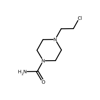 NC(=O)N1CCN(CCCl)CC1